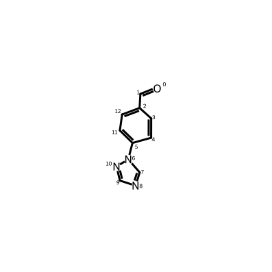 O=[C]c1ccc(-n2cncn2)cc1